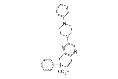 O=C(O)C1(c2ccccc2)C=Cc2ncc(N3CCN(c4ccccc4)CC3)nc2C1